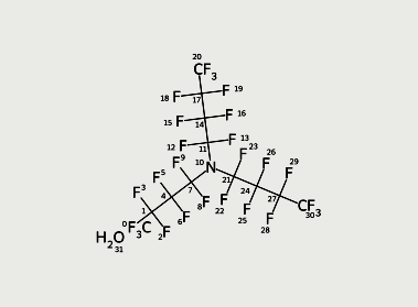 FC(F)(F)C(F)(F)C(F)(F)C(F)(F)N(C(F)(F)C(F)(F)C(F)(F)C(F)(F)F)C(F)(F)C(F)(F)C(F)(F)C(F)(F)F.O